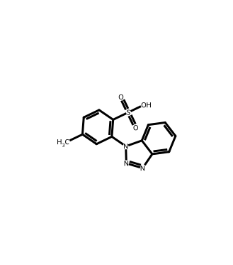 Cc1ccc(S(=O)(=O)O)c(-n2nnc3ccccc32)c1